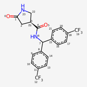 O=C1C[C@H](C(=O)NC(c2ccc(C(F)(F)F)cc2)c2ccc(C(F)(F)F)cc2)CN1